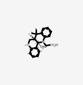 CCOC(=O)CN1c2ccccc2C(C)(C)[C@H]2COc3ccccc3[C@@]21OC